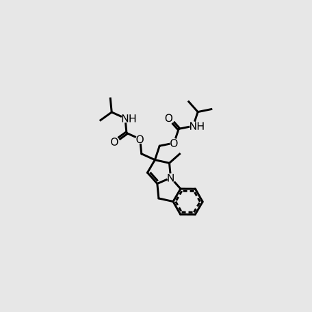 CC(C)NC(=O)OCC1(COC(=O)NC(C)C)C=C2Cc3ccccc3N2C1C